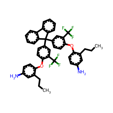 CCCc1cc(N)ccc1Oc1ccc(C2(c3ccc(Oc4ccc(N)cc4CCC)c(C(F)(F)F)c3)c3ccccc3-c3ccccc32)cc1C(F)(F)F